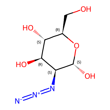 [N-]=[N+]=N[C@H]1[C@@H](O)[C@H](O)[C@@H](CO)O[C@@H]1O